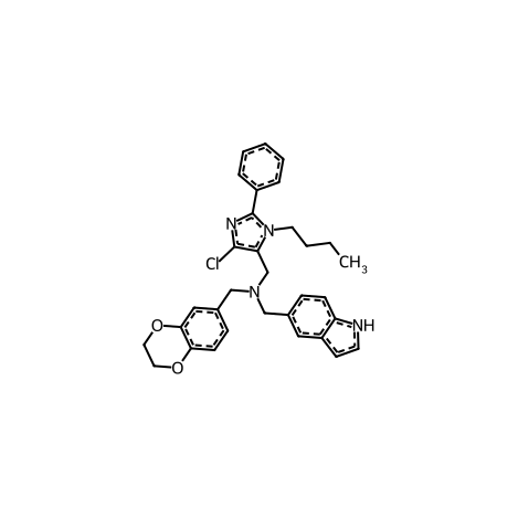 CCCCn1c(-c2ccccc2)nc(Cl)c1CN(Cc1ccc2c(c1)OCCO2)Cc1ccc2[nH]ccc2c1